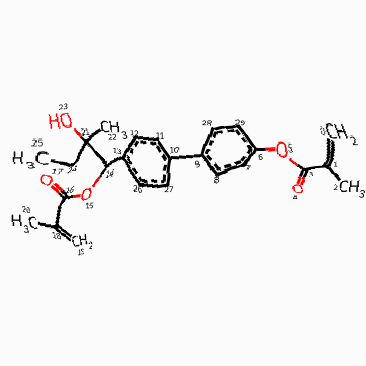 C=C(C)C(=O)Oc1ccc(-c2ccc(C(OC(=O)C(=C)C)C(C)(O)CC)cc2)cc1